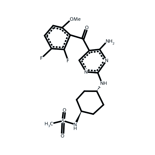 COc1ccc(F)c(F)c1C(=O)c1cnc(N[C@H]2CC[C@H](NS(C)(=O)=O)CC2)nc1N